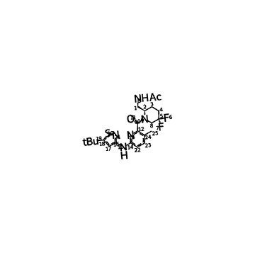 CC(=O)NC[C@H]1CCC(F)(F)CN1C(=O)c1nc(Nc2cc(C(C)(C)C)sn2)ccc1C